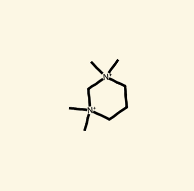 C[N+]1(C)CCC[N+](C)(C)C1